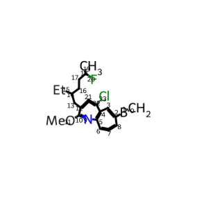 C=BC1=CC2=C(C=C=C1)N=C(OC)C(CC(CC)CCC(C)F)=C=C2Cl